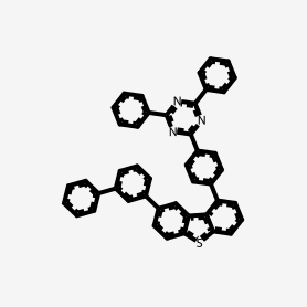 c1ccc(-c2cccc(-c3ccc4sc5cccc(-c6ccc(-c7nc(-c8ccccc8)nc(-c8ccccc8)n7)cc6)c5c4c3)c2)cc1